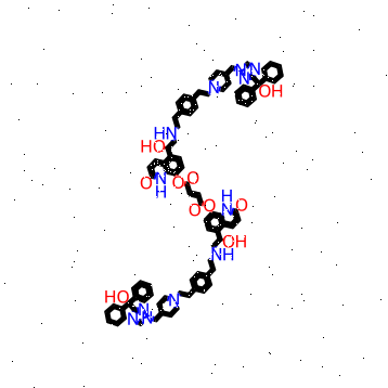 O=C(/C=C/C(=O)Oc1ccc([C@@H](O)CNCCc2ccc(CCN3CCC(Cn4cnc(C(O)(c5ccccc5)C5CCCCC5)n4)CC3)cc2)c2ccc(=O)[nH]c12)Oc1ccc([C@@H](O)CNCCc2ccc(CCN3CCC(Cn4cnc(C(O)(c5ccccc5)C5CCCCC5)n4)CC3)cc2)c2ccc(=O)[nH]c12